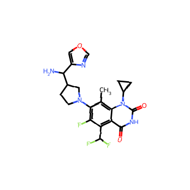 Cc1c(N2CCC(C(N)c3cocn3)C2)c(F)c(C(F)F)c2c(=O)[nH]c(=O)n(C3CC3)c12